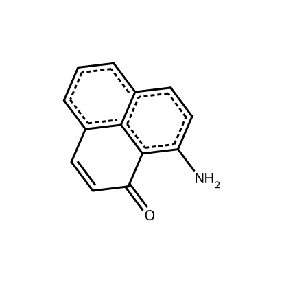 Nc1ccc2cccc3c2c1C(=O)C=C3